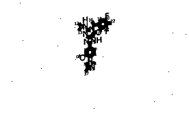 COc1cc(-c2nc3nc(NC(C)C)n(C(C)c4cc(F)c(C)c(F)c4)c(=O)c3[nH]2)ccc1-n1cnc(C)c1